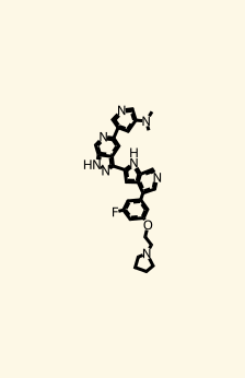 CN(C)c1cncc(-c2cc3c(-c4cc5c(-c6cc(F)cc(OCCN7CCCC7)c6)cncc5[nH]4)n[nH]c3cn2)c1